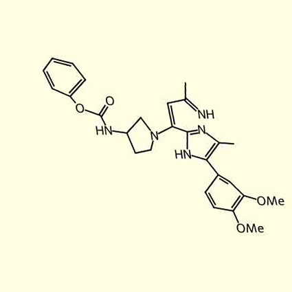 COc1ccc(-c2[nH]c(/C(=C\C(C)=N)N3CCC(NC(=O)Oc4ccccc4)C3)nc2C)cc1OC